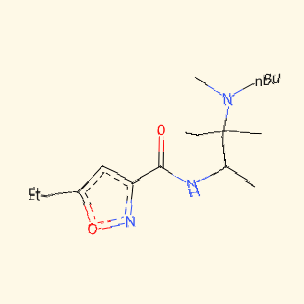 CCCCN(C)C(C)(C)C(C)NC(=O)c1cc(CC)on1